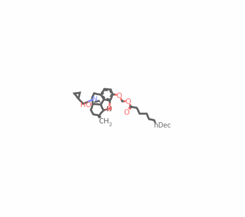 C=C1CC[C@@]2(O)C3Cc4ccc(OCOC(=O)CCCCCCCCCCCCCCC)c5c4[C@@]2(CCN3CC2CC2)[C@H]1O5